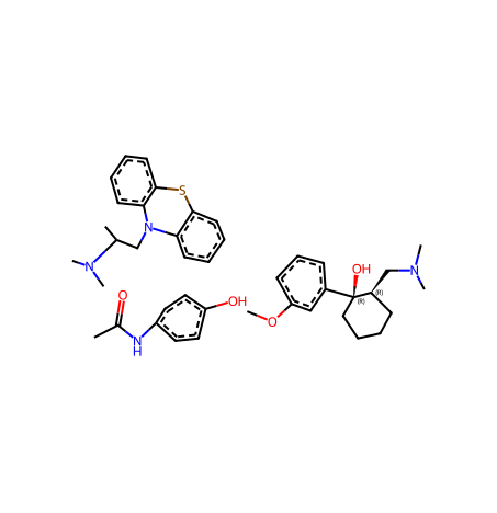 CC(=O)Nc1ccc(O)cc1.CC(CN1c2ccccc2Sc2ccccc21)N(C)C.COc1cccc([C@@]2(O)CCCC[C@@H]2CN(C)C)c1